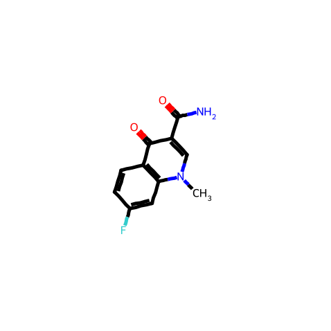 Cn1cc(C(N)=O)c(=O)c2ccc(F)cc21